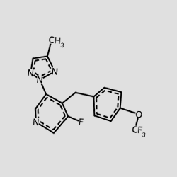 Cc1cnn(-c2cncc(F)c2Cc2ccc(OC(F)(F)F)cc2)n1